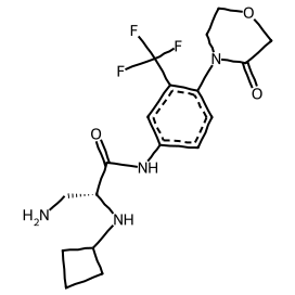 NC[C@@H](NC1CCC1)C(=O)Nc1ccc(N2CCOCC2=O)c(C(F)(F)F)c1